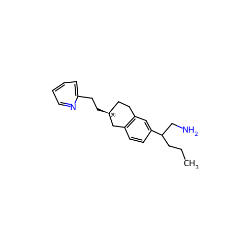 CCCC(CN)c1ccc2c(c1)CC[C@H](CCc1ccccn1)C2